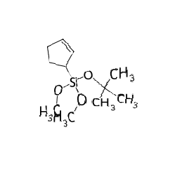 CO[Si](OC)(OC(C)(C)C)C1C=CCC1